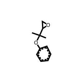 CC(C)(Oc1ccccc1)C1CO1